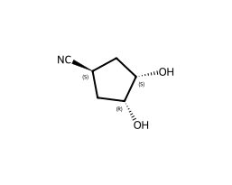 N#C[C@@H]1C[C@@H](O)[C@@H](O)C1